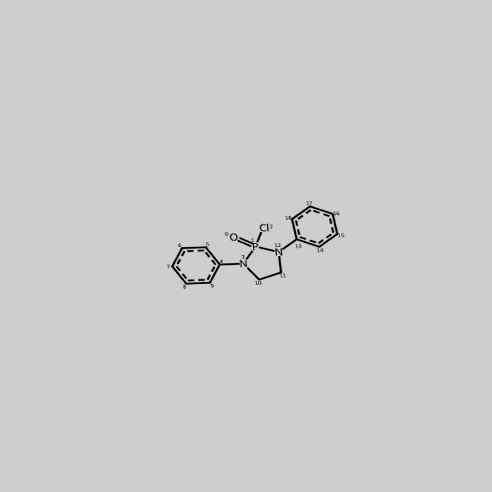 O=P1(Cl)N(c2ccccc2)CCN1c1ccccc1